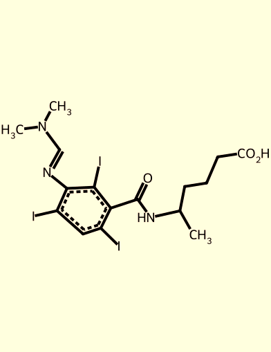 CC(CCCC(=O)O)NC(=O)c1c(I)cc(I)c(N=CN(C)C)c1I